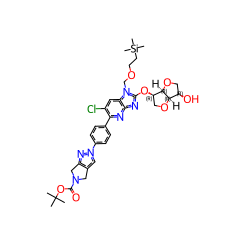 CC(C)(C)OC(=O)N1Cc2cn(-c3ccc(-c4nc5nc(O[C@@H]6CO[C@H]7[C@@H]6OC[C@H]7O)n(COCC[Si](C)(C)C)c5cc4Cl)cc3)nc2C1